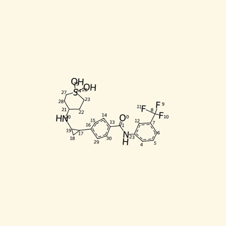 O=C(Nc1cccc(C(F)(F)F)c1)c1ccc(C2CC2NC2CCS(O)(O)CC2)cc1